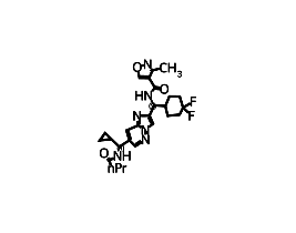 CCCC(=O)N[C@@H](c1cnn2cc([C@@H](NC(=O)c3conc3C)C3CCC(F)(F)CC3)nc2c1)C1CC1